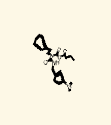 CCCC(=O)OC(=O)N(CCc1ccccc1)C(=O)NCc1ccc(N(C)C)cc1